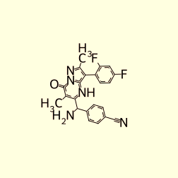 Cc1nn2c(=O)c(C)c(C(N)c3ccc(C#N)cc3)[nH]c2c1-c1ccc(F)cc1F